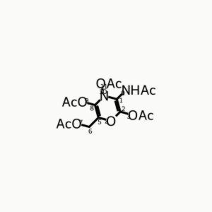 CC(=O)NC1=C(OC(C)=O)OC(COC(C)=O)=C(OC(C)=O)N1OC(C)=O